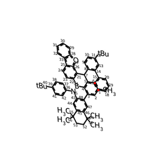 Cc1cc2c3c(c1)C(c1ccc(C(C)(C)C)cc1-c1ccccc1)c1c(ccc4c1oc1ccccc14)B3N(c1ccc(C(C)(C)C)cc1)c1cc3c(cc1-2)C(C)(C)CCC3(C)C